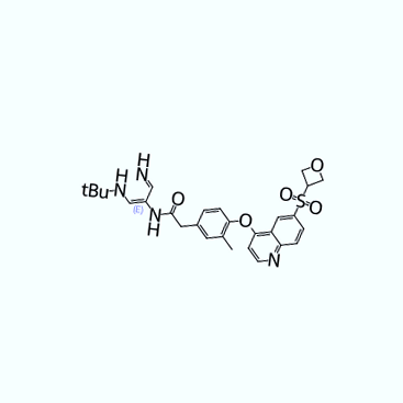 Cc1cc(CC(=O)N/C(C=N)=C/NC(C)(C)C)ccc1Oc1ccnc2ccc(S(=O)(=O)C3COC3)cc12